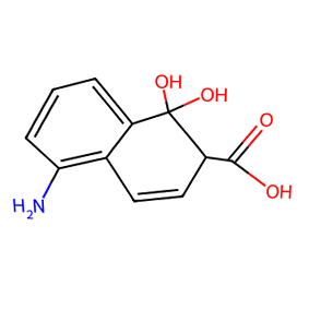 Nc1cccc2c1C=CC(C(=O)O)C2(O)O